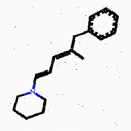 C/C(=C\C=C\N1CCCCC1)Cc1ccccc1